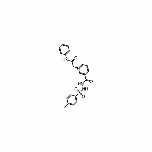 Cc1ccc(S(=O)(=O)NNC(=O)c2ccc[n+](CC(=O)Nc3ccccc3)c2)cc1